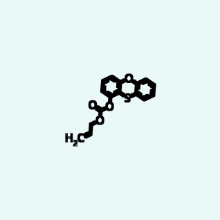 C=CCOC(=O)Oc1cccc2c1Sc1ccccc1O2